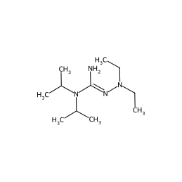 CCN(CC)N=C(N)N(C(C)C)C(C)C